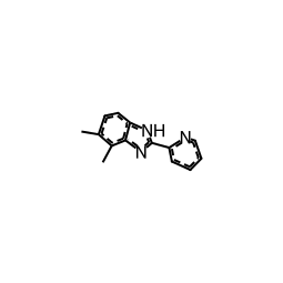 Cc1ccc2[nH]c(-c3ccccn3)nc2c1C